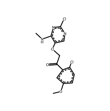 CNc1nc(Cl)ncc1OCC(=O)c1cc(OC)ccc1Cl